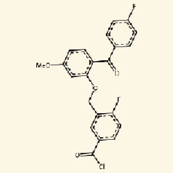 COc1ccc(C(=O)c2ccc(F)cc2)c(OCc2cc(C(=O)Cl)ccc2F)c1